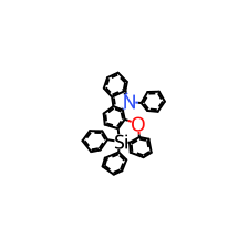 c1ccc(-n2c3ccccc3c3ccc4c(c32)Oc2ccccc2[Si]4(c2ccccc2)c2ccccc2)cc1